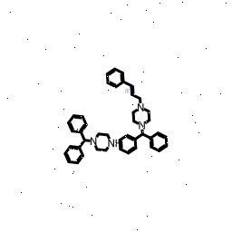 C(=C\c1ccccc1)/CN1CCN(C(c2ccccc2)c2ccccc2)CC1.c1ccc(C(c2ccccc2)N2CCNCC2)cc1